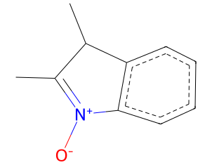 CC1=[N+]([O-])c2ccccc2C1C